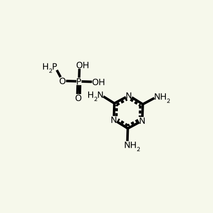 Nc1nc(N)nc(N)n1.O=P(O)(O)OP